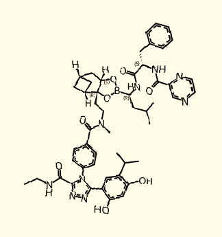 CCNC(=O)c1nnc(-c2cc(C(C)C)c(O)cc2O)n1-c1ccc(C(=O)N(C)CC[C@]23OB([C@H](CC(C)C)NC(=O)[C@H](Cc4ccccc4)NC(=O)c4cnccn4)O[C@H]2C[C@H]2C[C@@H]3C2)cc1